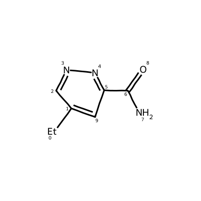 CCc1cnnc(C(N)=O)c1